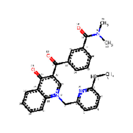 CBc1cccc(Cn2cc(C(=O)c3cccc(C(=O)N(C)C)c3)c(=O)c3ccccc32)n1